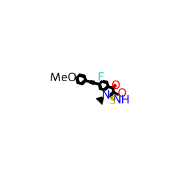 COc1ccc(C#Cc2cc3c(cc2F)c(=O)c2c(=O)[nH]sc2n3C2CC2)cc1